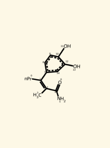 CCCC(=C(C)C(N)=O)c1ccc(O)c(O)c1